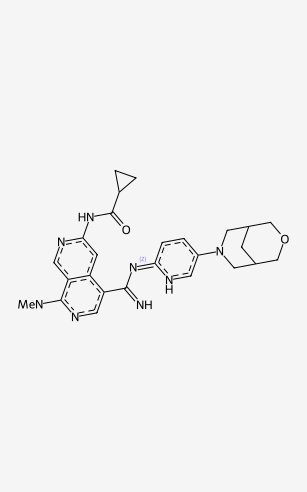 CNc1ncc(C(=N)/N=c2/ccc(N3CC4COCC(C4)C3)c[nH]2)c2cc(NC(=O)C3CC3)ncc12